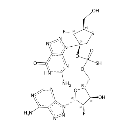 Nc1nc2c(nnn2[C@@]2(OP(=O)(S)OC[C@H]3O[C@@H](n4nnc5c(N)ncnc54)[C@@H](F)[C@@H]3O)CS[C@H](CO)[C@H]2F)c(=O)[nH]1